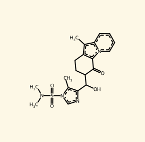 Cc1c2c(n3ccccc13)C(=O)C(C(O)c1ncn(S(=O)(=O)N(C)C)c1C)CC2